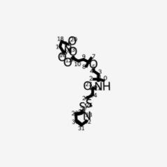 CC(C)(CCOC(C)(C)CCC(=O)ON1C(=O)CCC1=O)NC(=O)CCSSc1ccccn1